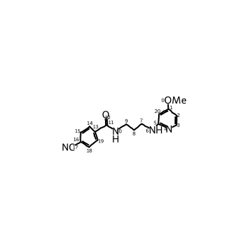 COc1ccnc(NCCCNC(=O)c2ccc(C#N)cc2)c1